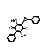 O=C1C(O)=C(C2CC2c2ccccc2)C(=O)C(O)=C1c1ccccc1